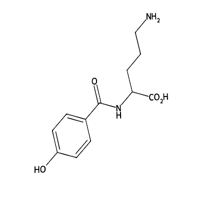 NCCCC(NC(=O)c1ccc(O)cc1)C(=O)O